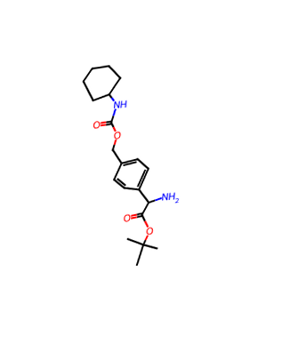 CC(C)(C)OC(=O)C(N)c1ccc(COC(=O)NC2CCCCC2)cc1